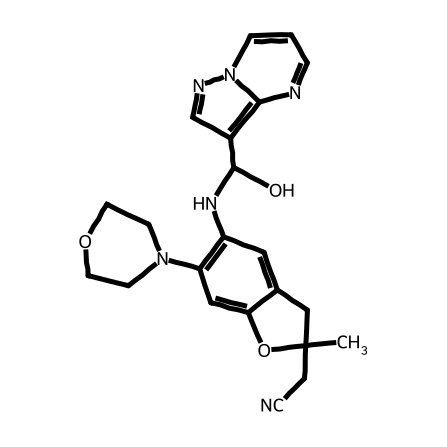 CC1(CC#N)Cc2cc(NC(O)c3cnn4cccnc34)c(N3CCOCC3)cc2O1